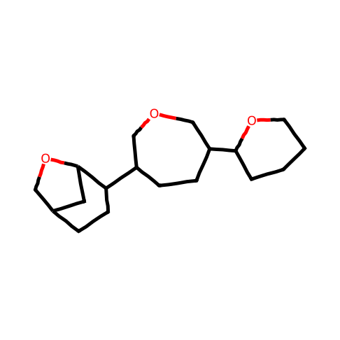 C1CCC(C2CCC(C3CCC4COC3C4)COC2)OC1